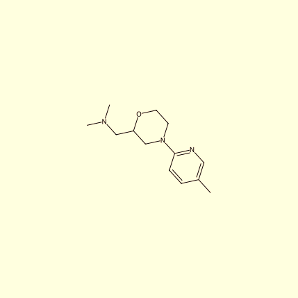 Cc1ccc(N2CCOC(CN(C)C)C2)nc1